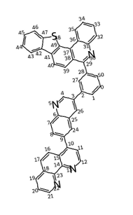 c1cc(-c2cnc3ccc(-c4ccnc5c4ccc4cccnc45)cc3c2)cc(-c2nc3ccccc3c3c2ccc2c4ccccc4sc23)c1